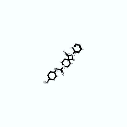 CC(C)(C)C1CCC(NC(=O)N2CCC3(CC2)CN(c2ccccn2)C3=O)CC1